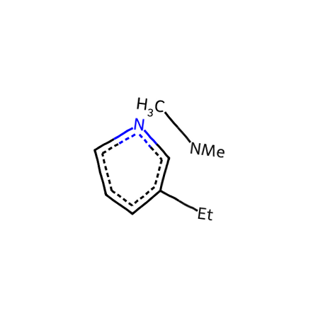 CCc1cccnc1.CNC